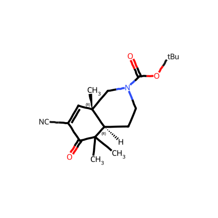 CC(C)(C)OC(=O)N1CC[C@H]2C(C)(C)C(=O)C(C#N)=C[C@]2(C)C1